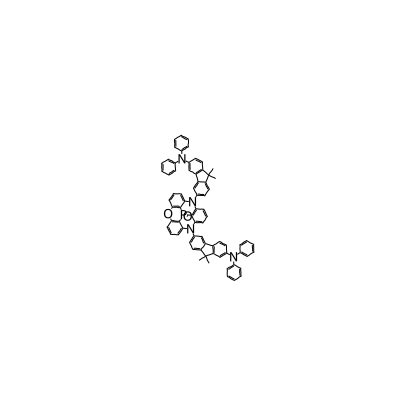 CC1(C)c2ccc(N(c3ccccc3)c3ccccc3)cc2-c2cc(N3c4cccc5c4P4(=O)c6c(cccc6N(c6ccc7c(c6)-c6ccc(N(c8ccccc8)c8ccccc8)cc6C7(C)C)c6cccc3c64)O5)ccc21